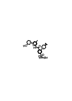 Cc1cc(NC(=O)c2ccc(S(=O)(=O)NC(C)(C)C)cc2N2CCC3(CC2)CC3)nc(N2CCCC(O)C2)c1